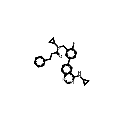 O=C(CCc1ccccc1)N(Cc1cc(-c2ccc3ncnc(NC4CC4)c3c2)ccc1F)C1CC1